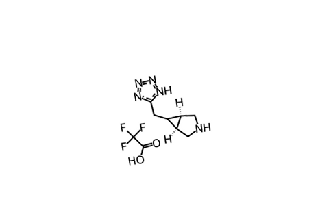 C(c1nnn[nH]1)C1[C@H]2CNC[C@@H]12.O=C(O)C(F)(F)F